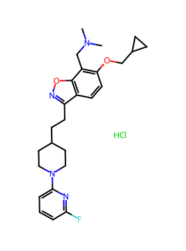 CN(C)Cc1c(OCC2CC2)ccc2c(CCC3CCN(c4cccc(F)n4)CC3)noc12.Cl